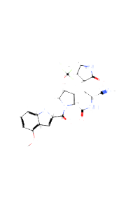 COc1cccc2[nH]c(C(=O)N3C[C@H](OC(F)(F)F)C[C@H]3C(=O)N[C@H](C#N)C[C@@H]3CCNC3=O)cc12